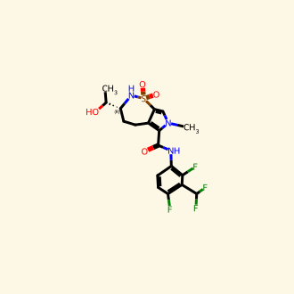 CC(O)[C@H]1CCc2c(cn(C)c2C(=O)Nc2ccc(F)c(C(F)F)c2F)S(=O)(=O)N1